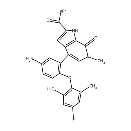 CCCC(=O)c1cc2c(-c3cc(N)ccc3Oc3c(C)cc(F)cc3C)cn(C)c(=O)c2[nH]1